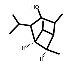 CC(C)C1C(O)C(C)C2C(C)[C@H]1[C@@H]2C